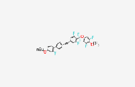 CCCCOc1ccc(-c2ccc(C#Cc3cc(F)c(C(F)(F)Oc4cc(F)c(OC(F)(F)F)c(F)c4)c(F)c3)cc2)c(F)c1